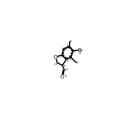 Cc1cc2c(c(C)c1Br)C(C=O)CO2